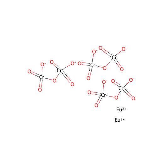 [Eu+3].[Eu+3].[O]=[Cr](=[O])([O-])[O][Cr](=[O])(=[O])[O-].[O]=[Cr](=[O])([O-])[O][Cr](=[O])(=[O])[O-].[O]=[Cr](=[O])([O-])[O][Cr](=[O])(=[O])[O-]